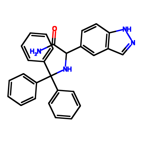 NC(=O)C(NC(c1ccccc1)(c1ccccc1)c1ccccc1)c1ccc2[nH]ncc2c1